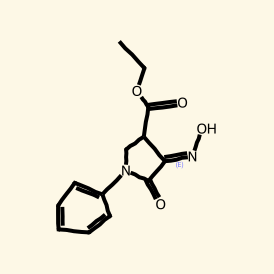 CCOC(=O)C1CN(c2ccccc2)C(=O)/C1=N/O